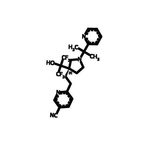 CC(C)(c1ccccn1)N1CC[C@@](CCc2ccc(C#N)cn2)(C(O)(C(F)(F)F)C(F)(F)F)C1